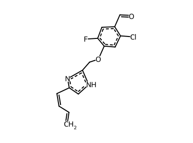 C=C/C=C\c1c[nH]c(COc2cc(Cl)c(C=O)cc2F)n1